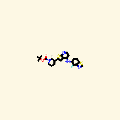 C[C@@H]1C(c2cc3c(Nc4ccc5scnc5c4F)ccnc3s2)=CCCN1C(=O)OC(C)(C)C